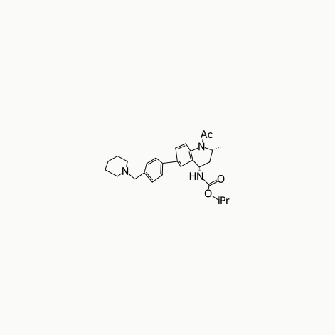 CC(=O)N1c2ccc(-c3ccc(CN4CCCCC4)cc3)cc2[C@@H](NC(=O)OC(C)C)C[C@H]1C